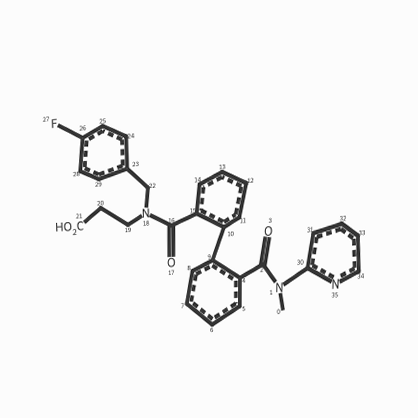 CN(C(=O)c1ccccc1-c1ccccc1C(=O)N(CCC(=O)O)Cc1ccc(F)cc1)c1ccccn1